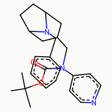 CC(C)(C)OC(=O)N(CC1CC2CCC(C1)N2Cc1ccccc1)c1ccncc1